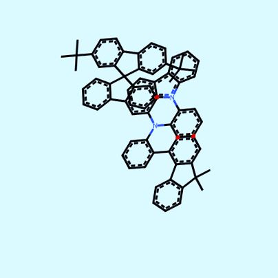 CC(C)(C)c1ccc2c(c1)C1(c3ccccc3-c3cc(N(c4ccccc4-c4cccc5c4-c4ccccc4C5(C)C)c4ccccc4-n4c5ccccc5c5ccccc54)ccc31)c1cc(C(C)(C)C)ccc1-2